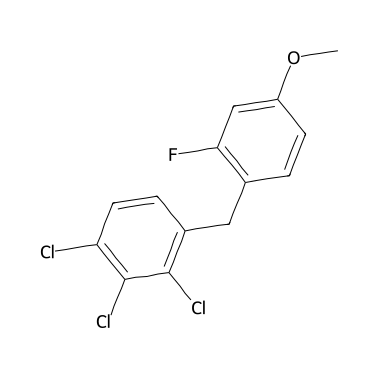 COc1ccc(Cc2ccc(Cl)c(Cl)c2Cl)c(F)c1